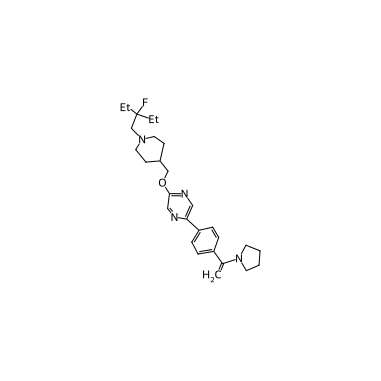 C=C(c1ccc(-c2cnc(OCC3CCN(CC(F)(CC)CC)CC3)cn2)cc1)N1CCCC1